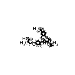 C[C@H](CCOc1ccc(-c2nc3c(OC4(C)CC4)ncnc3n2Cc2cccc(C(C)(F)F)c2)c(Cl)c1)C(=O)O